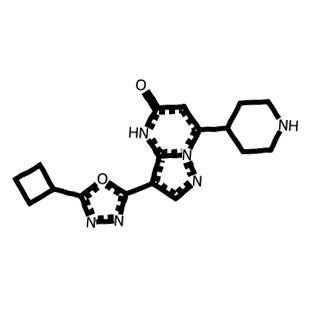 O=c1cc(C2CCNCC2)n2ncc(-c3nnc(C4CCC4)o3)c2[nH]1